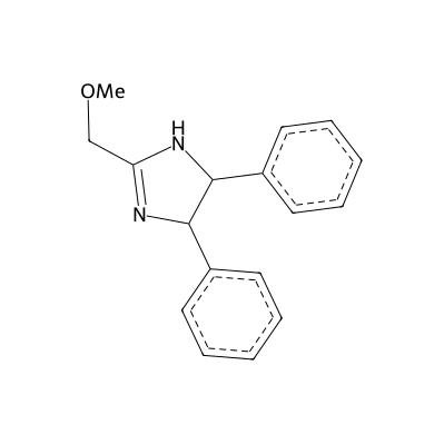 COCC1=NC(c2ccccc2)C(c2ccccc2)N1